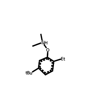 [CH2]Cc1ccc(C(C)(C)C)cc1O[SiH](C)C